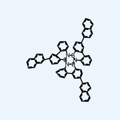 c1ccc2c(c1)-c1cc(-c3ccc4ccccc4c3)ccc1B1N2B2c3ccc(-c4ccc5ccccc5c4)cc3-c3ccccc3N2B2c3ccc(-c4ccc5ccccc5c4)cc3-c3ccccc3N12